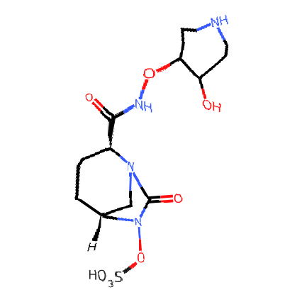 O=C(NOC1CNCC1O)[C@@H]1CC[C@@H]2CN1C(=O)N2OS(=O)(=O)O